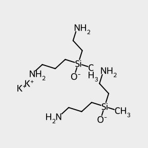 C[Si]([O-])(CCN)CCCN.C[Si]([O-])(CCN)CCCN.[K+].[K+]